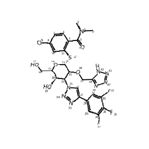 CN(C)C(=O)c1ccc(Cl)cc1S[C@H]1OC(CO)[C@H](O)C(n2cc(-c3cc(F)c(F)c(F)c3)nn2)C1OCc1nnn[nH]1